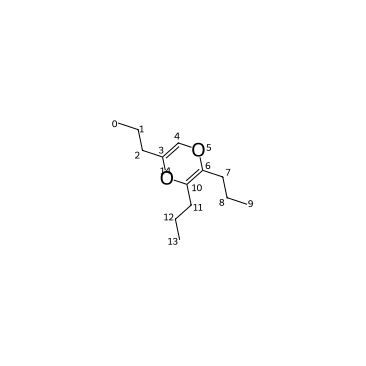 CCCC1=COC(CCC)=C(CCC)O1